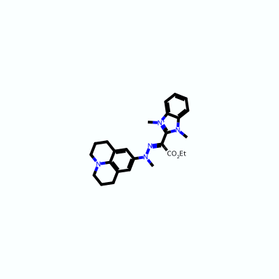 CCOC(=O)/C(=N\N(C)c1cc2c3c(c1)CCCN3CCC2)c1n(C)c2ccccc2[n+]1C